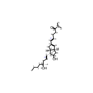 CCCC[C@](C)(O)C/C=C/[C@@H]1[C@H]2CC(/C=C/CCC(=O)N(C)C)=C[C@H]2C[C@H]1O